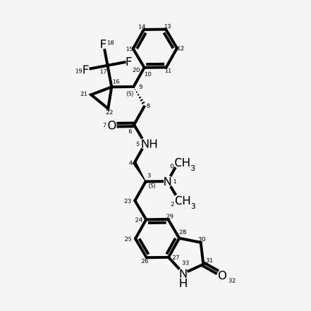 CN(C)[C@H](CNC(=O)C[C@@H](c1ccccc1)C1(C(F)(F)F)CC1)Cc1ccc2c(c1)CC(=O)N2